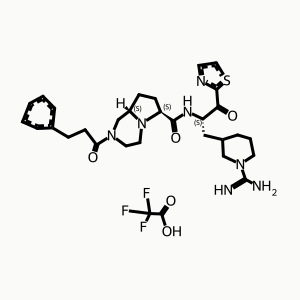 N=C(N)N1CCCC(C[C@H](NC(=O)[C@@H]2CC[C@H]3CN(C(=O)CCc4ccccc4)CCN32)C(=O)c2nccs2)C1.O=C(O)C(F)(F)F